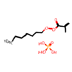 C=C(C)C(=O)OOCCCCCCCCCCCCCCCC.O=P(O)(O)O